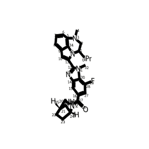 CC(C)C1CN(C)c2cccc3cc(-c4nc5cc(C(=O)N6C[C@H]7CC[C@@H]6[C@@H]7N)cc(F)c5n4C)n1c23